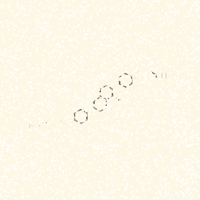 C=CCCc1ccc(-c2ccc3cc(-c4ccc(CCCCC)cc4)ccc3c2F)cc1